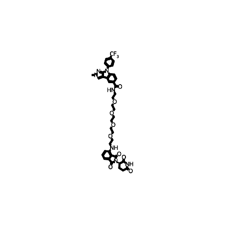 Cn1cc2c3cc(C(=O)NCCOCCOCCOCCOCCNc4cccc5c4C(=O)N([C@@H]4CCC(=O)NC4=O)C5=O)ccc3n(-c3ccc(C(F)(F)F)cc3)c2n1